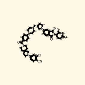 N#Cc1ccc(N2CCC3(CCN(C(=O)c4ccc(N5CCN(C[C@H]6CCN(c7ccc8c(c7)C(=O)N(C7CCC(=O)NC7=O)C8=O)C6)CC5)cc4)CC3)C2)cc1Cl